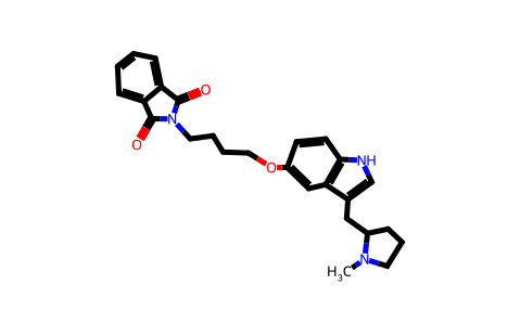 CN1CCCC1Cc1c[nH]c2ccc(OCCCCN3C(=O)c4ccccc4C3=O)cc12